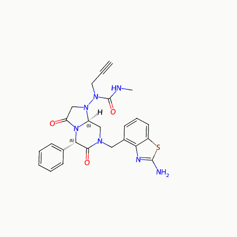 C#CCN(C(=O)NC)N1CC(=O)N2[C@@H](c3ccccc3)C(=O)N(Cc3cccc4sc(N)nc34)C[C@@H]21